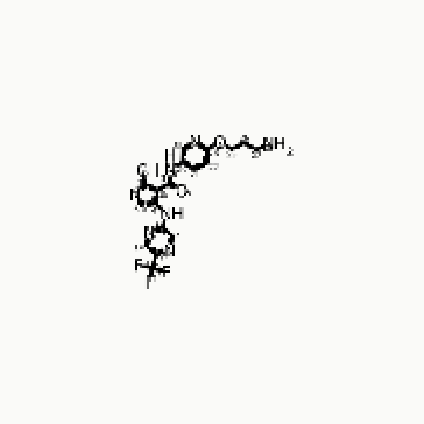 Cc1nsc(Nc2cnc(C(F)(F)F)cn2)c1C(=O)Nc1ccc(OCCCN)nc1